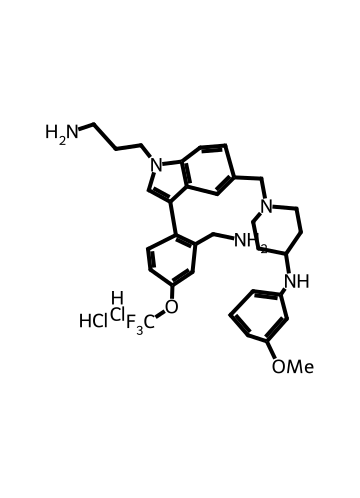 COc1cccc(NC2CCN(Cc3ccc4c(c3)c(-c3ccc(OC(F)(F)F)cc3CN)cn4CCCN)CC2)c1.Cl.Cl